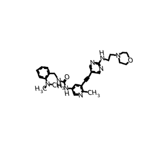 Cc1ncc(NC(=O)NCc2ccccc2N(C)C)cc1C#Cc1cnc(NCCN2CCOCC2)nc1